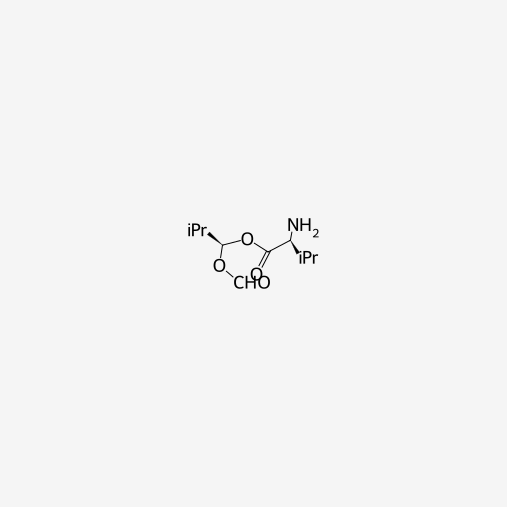 CC(C)[C@H](OC=O)OC(=O)[C@@H](N)C(C)C